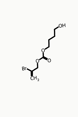 C=C(Br)COC(=O)OCCCCO